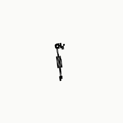 [CH2]C#CF